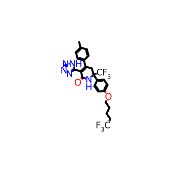 Cc1ccc(C2=C(c3nnn[nH]3)C(=O)NC(c3ccc(OCCCCC(F)(F)F)cc3)(C(F)(F)F)C2)cc1